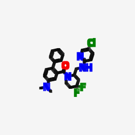 CN(C)c1ccc(-c2ccccc2)c(C(=O)N2CCC(F)(F)CC2CNc2ccc(Cl)cn2)c1